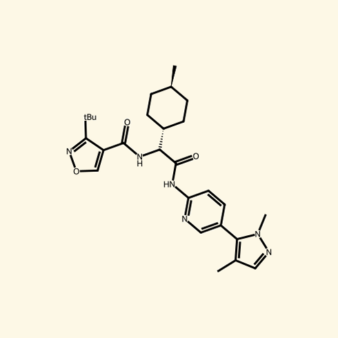 Cc1cnn(C)c1-c1ccc(NC(=O)C(NC(=O)c2conc2C(C)(C)C)[C@H]2CC[C@H](C)CC2)nc1